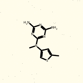 Cc1cc(N(C)c2nc(N)nc(N)n2)cs1